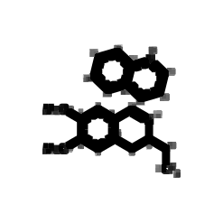 COc1cc2c(cc1OC)CC(CC(F)(F)F)N=C2.c1ccc2ncccc2c1